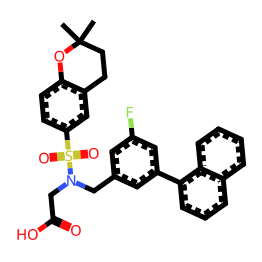 CC1(C)CCc2cc(S(=O)(=O)N(CC(=O)O)Cc3cc(F)cc(-c4cccc5ccccc45)c3)ccc2O1